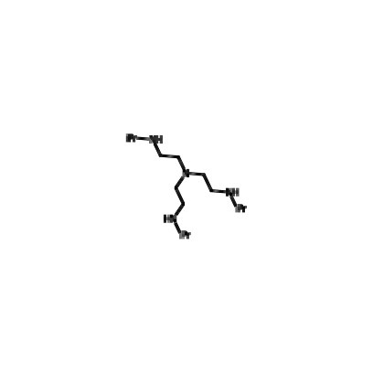 CC(C)NCCN(CCNC(C)C)CCNC(C)C